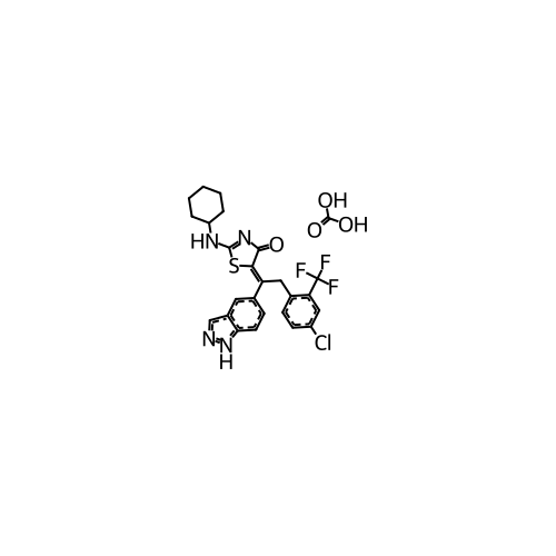 O=C(O)O.O=C1N=C(NC2CCCCC2)SC1=C(Cc1ccc(Cl)cc1C(F)(F)F)c1ccc2[nH]ncc2c1